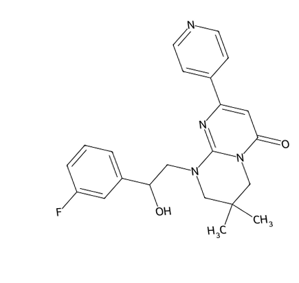 CC1(C)CN(CC(O)c2cccc(F)c2)c2nc(-c3ccncc3)cc(=O)n2C1